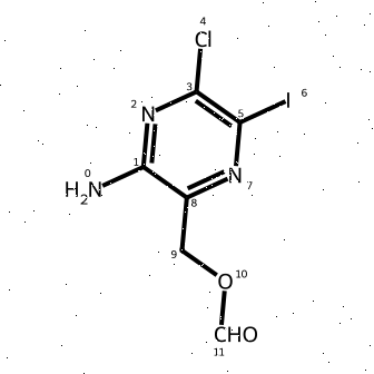 Nc1nc(Cl)c(I)nc1COC=O